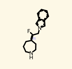 F/C(Cn1cc2ccccc2c1)=C1\CCCNCC1